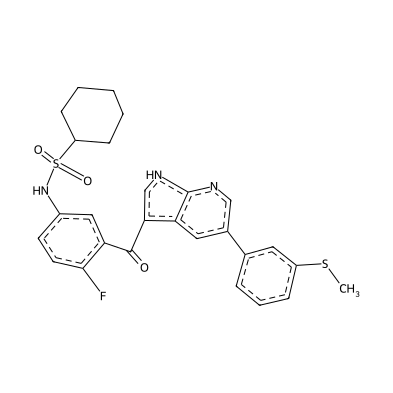 CSc1cccc(-c2cnc3[nH]cc(C(=O)c4cc(NS(=O)(=O)C5CCCCC5)ccc4F)c3c2)c1